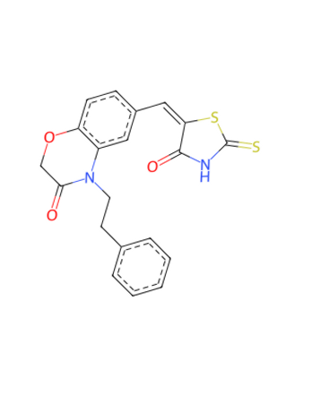 O=C1NC(=S)SC1=Cc1ccc2c(c1)N(CCc1ccccc1)C(=O)CO2